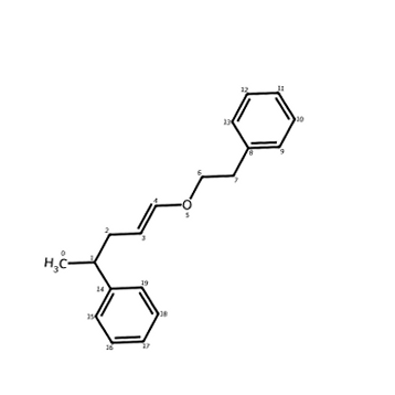 CC(CC=COCCc1ccccc1)c1ccccc1